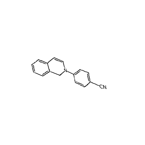 N#Cc1ccc(N2C=Cc3ccccc3C2)cc1